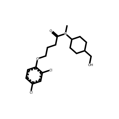 CN(C(=O)CCCOc1ccc(Cl)cc1Cl)C1CCC(CO)CC1